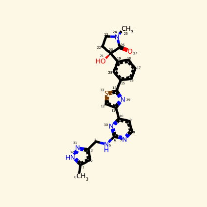 Cc1cc(CNc2nccc(-c3csc(-c4cccc([C@]5(O)CCN(C)C5=O)c4)n3)n2)n[nH]1